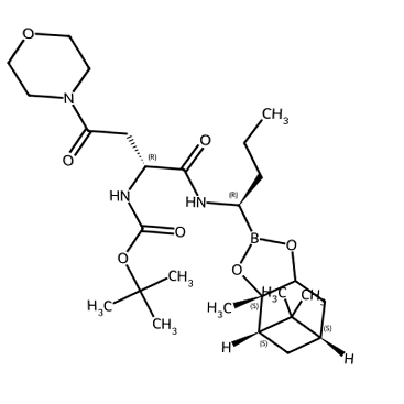 CCC[C@H](NC(=O)[C@@H](CC(=O)N1CCOCC1)NC(=O)OC(C)(C)C)B1OC2C[C@@H]3C[C@@H](C3(C)C)[C@]2(C)O1